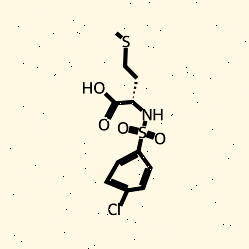 CSCC[C@H](NS(=O)(=O)c1ccc(Cl)cc1)C(=O)O